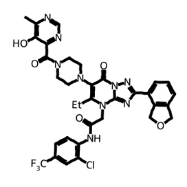 CCc1c(N2CCN(C(=O)c3ncnc(C)c3O)CC2)c(=O)n2nc(-c3cccc4c3COC4)nc2n1CC(=O)Nc1ccc(C(F)(F)F)cc1Cl